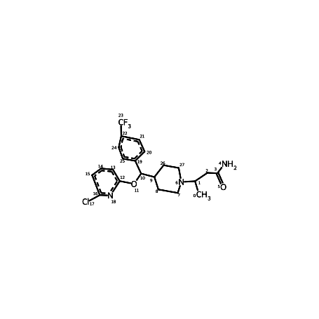 CC(CC(N)=O)N1CCC(C(Oc2cccc(Cl)n2)c2ccc(C(F)(F)F)cc2)CC1